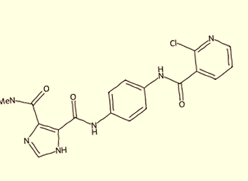 CNC(=O)c1nc[nH]c1C(=O)Nc1ccc(NC(=O)c2cccnc2Cl)cc1